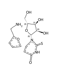 NCc1ccco1.O=c1ccn([C@@H]2O[C@H](CO)[C@@H](O)[C@H]2O)c(=S)[nH]1